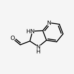 O=CC1Nc2cccnc2N1